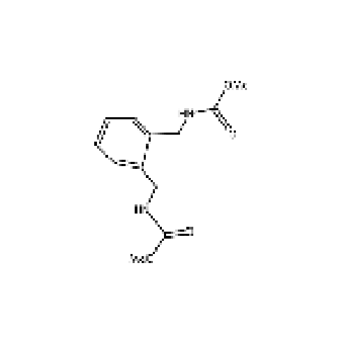 COC(=O)NCc1ccccc1CNC(=O)OC